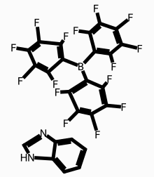 Fc1c(F)c(F)c(B(c2c(F)c(F)c(F)c(F)c2F)c2c(F)c(F)c(F)c(F)c2F)c(F)c1F.c1ccc2[nH]cnc2c1